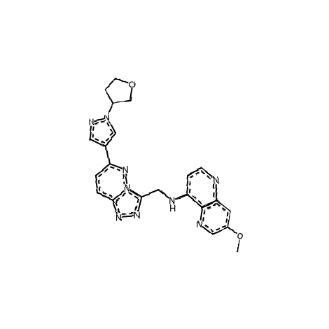 COc1cnc2c(NCc3nnc4ccc(-c5cnn(C6CCOC6)c5)nn34)ccnc2c1